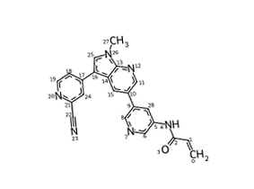 C=CC(=O)Nc1cncc(-c2cnc3c(c2)c(-c2ccnc(C#N)c2)cn3C)c1